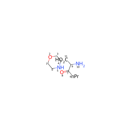 C1COCCN1.CCCC(=O)C(N)C(=O)O